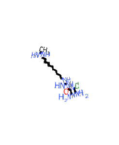 CC(=N)NCCCCCCCCCCCNC(=N)NC(=O)c1nc(Cl)c(N)nc1N